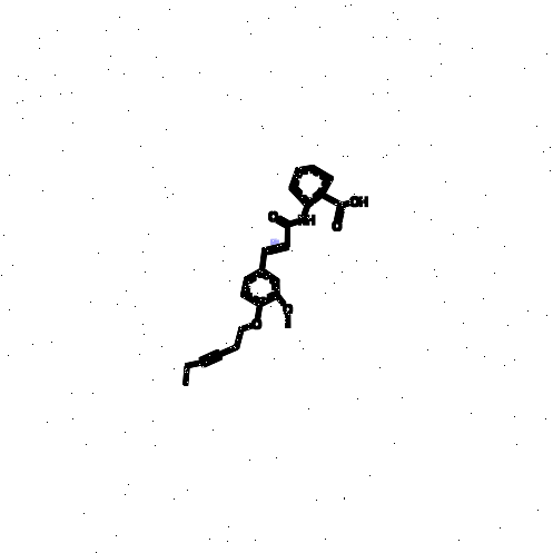 CCC#CCCOc1ccc(/C=C/C(=O)Nc2ccccc2C(=O)O)cc1OC